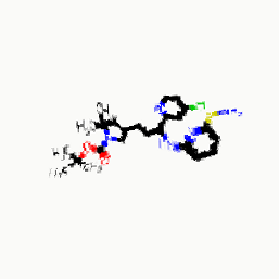 CC(C)(C)OC(=O)N1CC(CCC(Nc2cccc(SN)n2)c2cc(Cl)ccn2)CC1(C)C